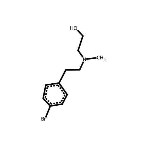 CN(CCO)CCc1ccc(Br)cc1